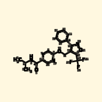 CC(C)NC(=O)c1ccc(OCc2c(-c3ccccc3)noc2C(F)(F)F)nc1